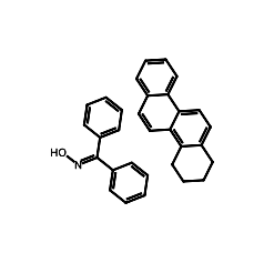 ON=C(c1ccccc1)c1ccccc1.c1ccc2c(c1)ccc1c3c(ccc12)CCCC3